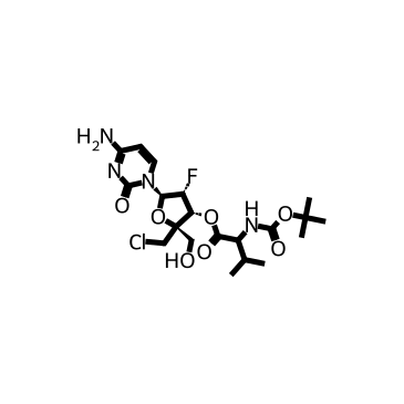 CC(C)C(NC(=O)OC(C)(C)C)C(=O)O[C@H]1[C@@H](F)[C@H](n2ccc(N)nc2=O)O[C@@]1(CO)CCl